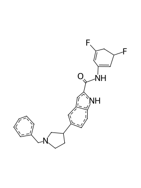 O=C(NC1=CC(F)CC(F)=C1)c1cc2cc(C3CCN(Cc4ccccc4)C3)ccc2[nH]1